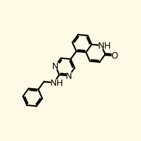 O=c1ccc2c(-c3cnc(NCc4ccccc4)nc3)cccc2[nH]1